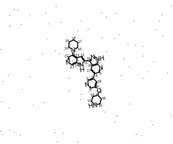 c1ncc(-c2cnc3[nH]nc(-c4cc5c(N6CCCCC6)cncc5[nH]4)c3c2)cc1OC1CCNCC1